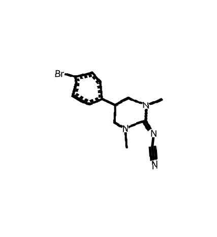 CN1CC(c2ccc(Br)cc2)CN(C)C1=NC#N